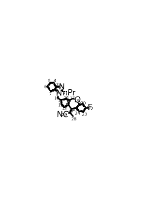 CCCc1nc2ccccc2n1Cc1ccc2c(c1)COc1cc(F)ccc1C2=C(C)C#N